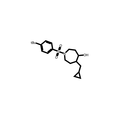 CC(C)(C)c1ccc(S(=O)(=O)N2CCC(O)C(CC3CC3)CC2)cc1